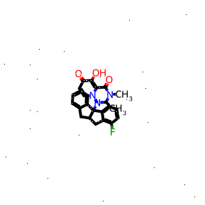 CC1N(C)C(=O)c2c(O)c(=O)ccn2N1C12c3ccccc3CC1Cc1c(F)cccc12